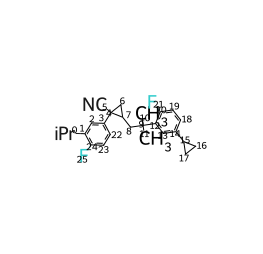 CC(C)c1cc(C2(C#N)CC2CC(C)(C)c2cc(C3CC3)ccc2F)ccc1F